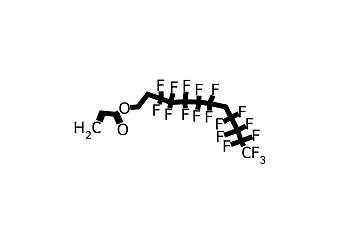 C=CC(=O)OCCC(F)(F)C(F)(F)C(F)(F)C(F)(F)C(F)(F)CC(F)(F)C(F)(F)C(F)(F)C(F)(F)F